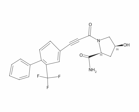 NC(=O)[C@@H]1C[C@H](O)CN1C(=O)C#Cc1ccc(-c2ccccc2)c(C(F)(F)F)c1